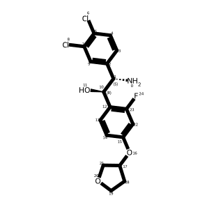 N[C@@H](c1ccc(Cl)c(Cl)c1)[C@H](O)c1ccc(OC2CCOC2)cc1F